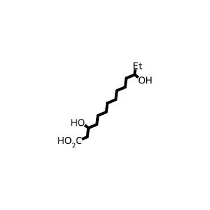 CCC(O)CCCCCCCCC(O)CC(=O)O